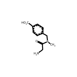 CN(Cc1ccc(C(=O)O)cc1)C(=O)CN